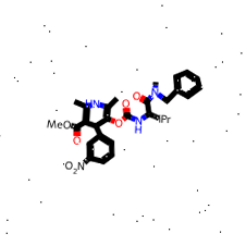 COC(=O)C1=C(C)NC(C)=C(OC(=O)NC(C(=O)N(C)Cc2ccccc2)C(C)C)C1c1cccc([N+](=O)[O-])c1